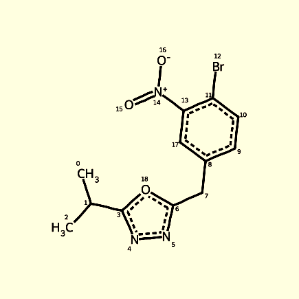 CC(C)c1nnc(Cc2ccc(Br)c([N+](=O)[O-])c2)o1